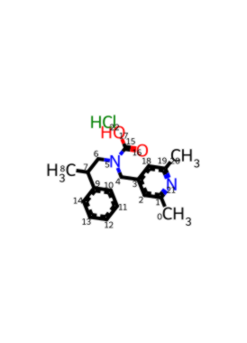 Cc1cc(CN(CC(C)c2ccccc2)C(=O)O)cc(C)n1.Cl